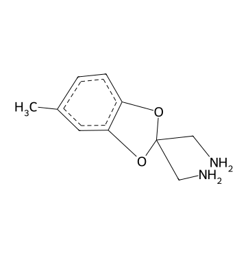 Cc1ccc2c(c1)OC(CN)(CN)O2